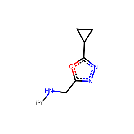 CC(C)NCc1nnc(C2CC2)o1